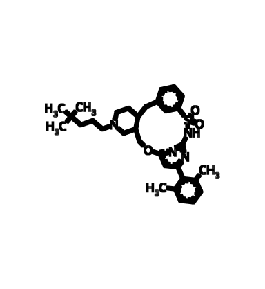 Cc1cccc(C)c1-c1cc2nc(n1)NS(=O)(=O)c1cccc(c1)CC1CCN(CCCC(C)(C)C)CC1CO2